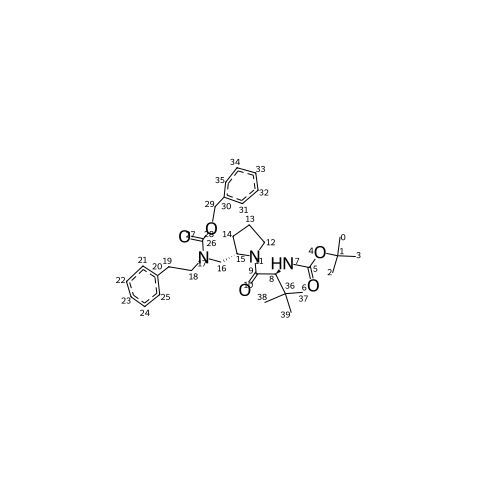 CC(C)(C)OC(=O)N[C@H](C(=O)N1CCC[C@H]1CN(CCc1ccccc1)C(=O)OCc1ccccc1)C(C)(C)C